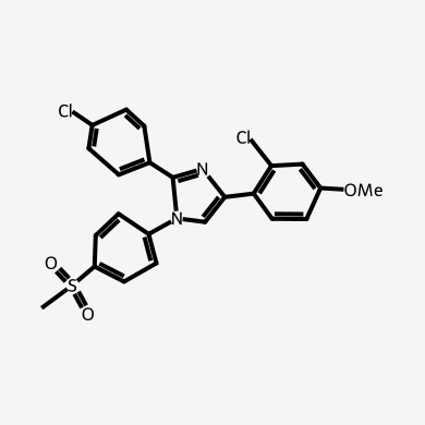 COc1ccc(-c2cn(-c3ccc(S(C)(=O)=O)cc3)c(-c3ccc(Cl)cc3)n2)c(Cl)c1